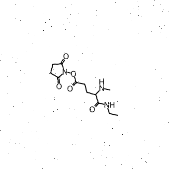 CCNC(=O)C(CCC(=O)ON1C(=O)CCC1=O)NC